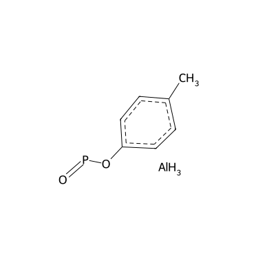 Cc1ccc(OP=O)cc1.[AlH3]